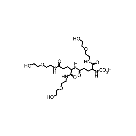 O=C(O)NC(CCC(=O)NC(CCC(=O)NCCOCCO)C(=O)NCCOCCO)C(=O)NCCOCCO